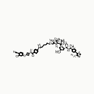 Cc1ncsc1-c1ccc([C@H](C)NC(=O)[C@@H]2C[C@@H](O)CN2C(=O)C(NC(=O)COCCCCCNc2ccc(C(=O)N[C@H]3C[C@H](Oc4ccc(C#N)c(Cl)c4)C3)cc2)C(C)(C)C)cc1